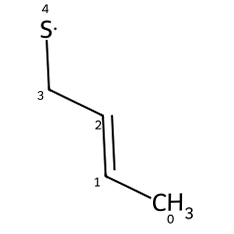 CC=CC[S]